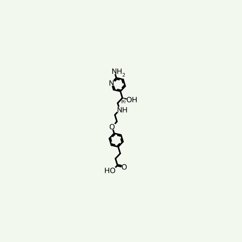 Nc1ccc([C@@H](O)CNCCOc2ccc(CCC(=O)O)cc2)cn1